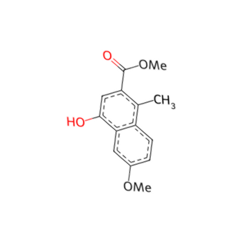 COC(=O)c1cc(O)c2cc(OC)ccc2c1C